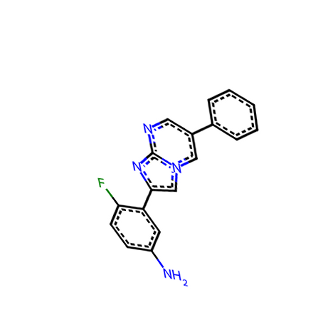 Nc1ccc(F)c(-c2cn3cc(-c4ccccc4)cnc3n2)c1